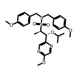 COc1ccc(CN(Cc2ccc(OC)cc2)S(=O)(=O)[C@H](C)[C@H](OC(C)C)c2cnc(OC)cn2)cc1